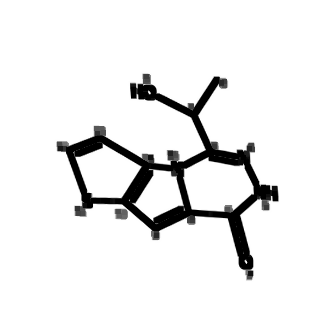 CC(O)c1n[nH]c(=O)c2cc3sccc3n12